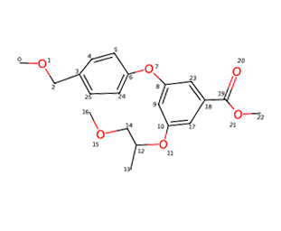 COCc1ccc(Oc2cc(OC(C)COC)cc(C(=O)OC)c2)cc1